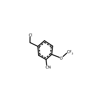 N#Cc1cc(CCl)ccc1OC(F)(F)F